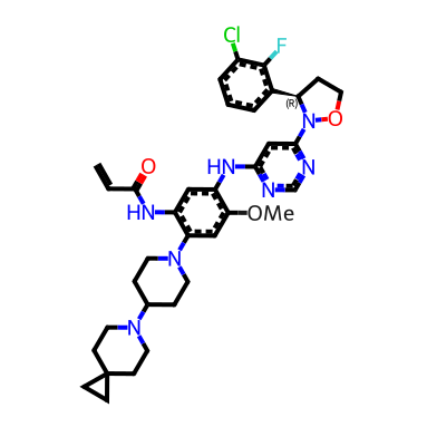 C=CC(=O)Nc1cc(Nc2cc(N3OCC[C@@H]3c3cccc(Cl)c3F)ncn2)c(OC)cc1N1CCC(N2CCC3(CC2)CC3)CC1